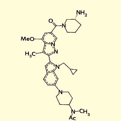 COc1cc(C(=O)N2CCC[C@@H](N)C2)cn2nc(-c3cc4ccc(N5CCC(N(C)C(C)=O)CC5)cc4n3CC3CC3)c(C)c12